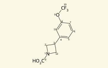 O=C(O)N1CC(c2cccc(OC(F)(F)F)c2)C1